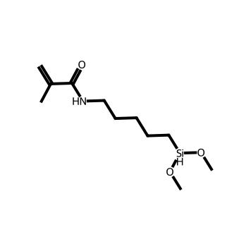 C=C(C)C(=O)NCCCCC[SiH](OC)OC